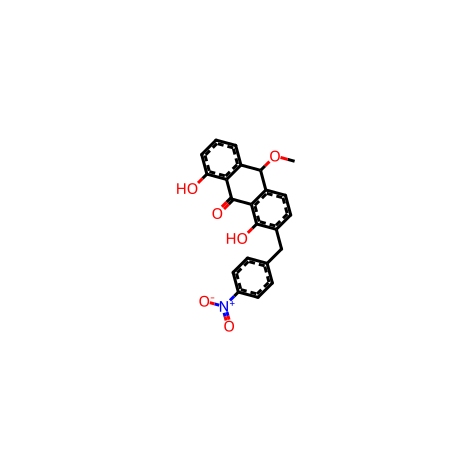 COC1c2cccc(O)c2C(=O)c2c1ccc(Cc1ccc([N+](=O)[O-])cc1)c2O